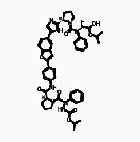 CC(C)OC(=O)N[C@@H](C(=O)N1CCC[C@H]1C(=O)Nc1ccc(-c2cc3cc(-c4cnc([C@@H]5CCCN5C(=O)[C@H](NC(O)OC(C)C)c5ccccc5)[nH]4)ccc3o2)cc1)c1ccccc1